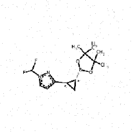 CC1(C)OB([C@@H]2C[C@H]2c2ccn(C(F)F)n2)OC1(C)C